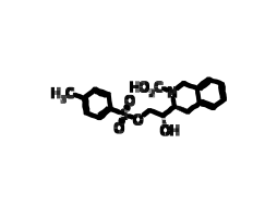 Cc1ccc(S(=O)(=O)OC[C@@H](O)[C@@H]2Cc3ccccc3CN2C(=O)O)cc1